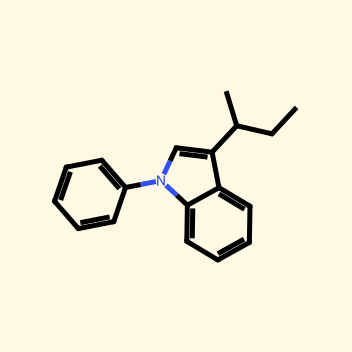 CCC(C)c1cn(-c2ccccc2)c2ccccc12